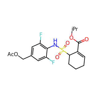 CC(=O)OCc1cc(F)c(NS(=O)(=O)C2CCCC=C2C(=O)OC(C)C)c(F)c1